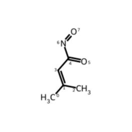 CC(C)=CC(=O)N=O